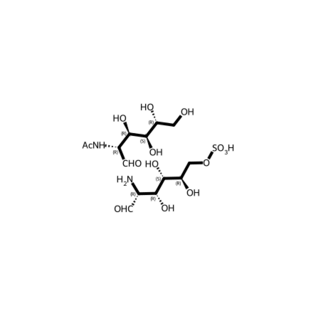 CC(=O)N[C@@H](C=O)[C@@H](O)[C@H](O)[C@H](O)CO.N[C@@H](C=O)[C@@H](O)[C@H](O)[C@H](O)COS(=O)(=O)O